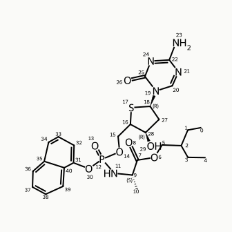 CCC(CC)COC(=O)[C@H](C)NP(=O)(OCC1S[C@@H](n2cnc(N)nc2=O)C[C@H]1O)Oc1cccc2ccccc12